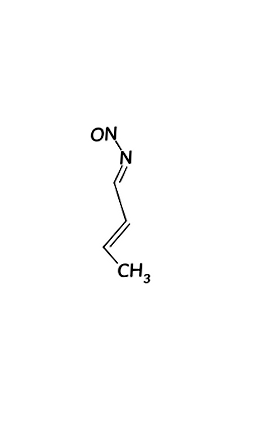 CC=CC=NN=O